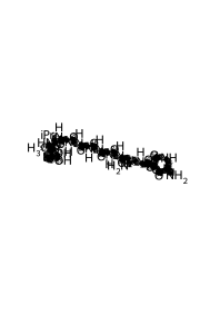 CC(C)[C@H](NC(=O)CNC(=O)CNC(=O)CNC(=O)CNC(=O)CNC(=O)CNC(=O)CN(CN)CCNCC(=O)OC1OC(=O)CNCCN(CN)CC(=O)O1)C(=O)N[C@H](C)C(=O)N1CCC[C@H]1B(O)O